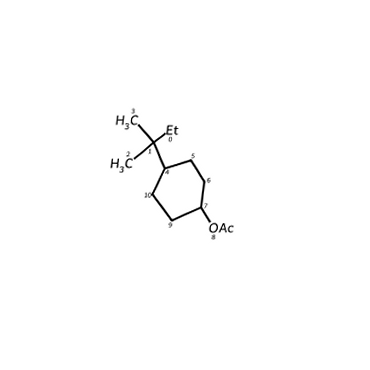 CCC(C)(C)C1CCC(OC(C)=O)CC1